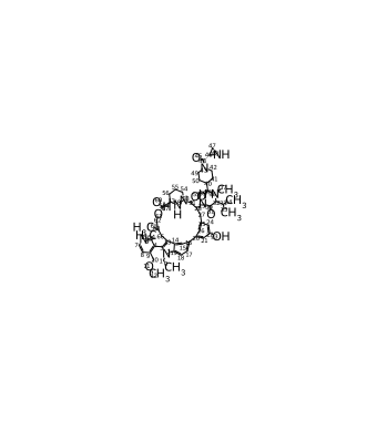 CCn1c(-c2cnccc2COC)c2c3cc(ccc31)-c1cc(O)cc(c1)C[C@H](NC(=O)C(C(C)C)N(C)C(=O)C1CCN(C(=O)[C@@H]3CN3)CC1)C(=O)N1CCC[C@H](N1)C(=O)OCC(C)(C)C2